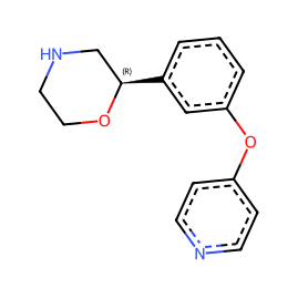 c1cc(Oc2ccncc2)cc([C@@H]2CNCCO2)c1